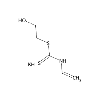 C=CNC(=S)SCCO.[KH]